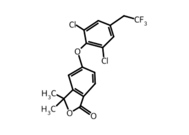 CC1(C)OC(=O)c2ccc(Oc3c(Cl)cc(CC(F)(F)F)cc3Cl)cc21